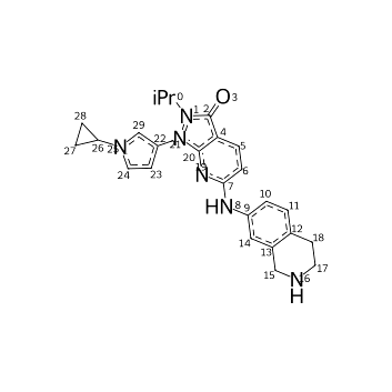 CC(C)n1c(=O)c2ccc(Nc3ccc4c(c3)CNCC4)nc2n1-c1ccn(C2CC2)c1